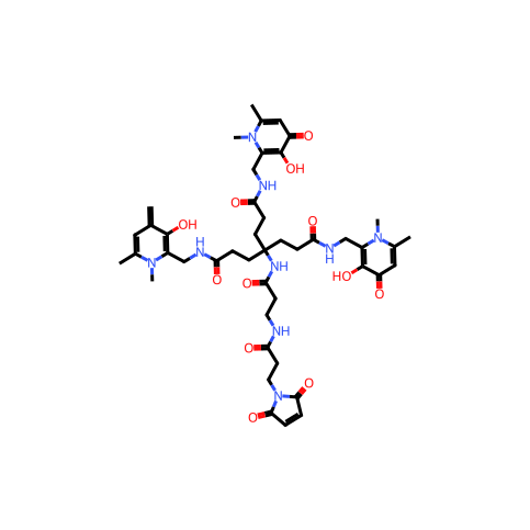 C=C1C=C(C)N(C)C(CNC(=O)CCC(CCC(=O)NCc2c(O)c(=O)cc(C)n2C)(CCC(=O)NCc2c(O)c(=O)cc(C)n2C)NC(=O)CCNC(=O)CCN2C(=O)C=CC2=O)=C1O